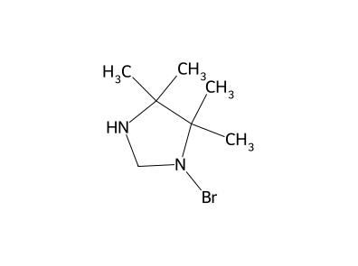 CC1(C)NCN(Br)C1(C)C